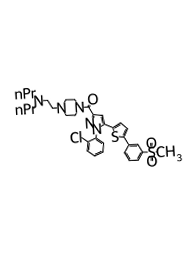 CCCN(CCC)CCN1CCN(C(=O)c2cc(-c3ccc(-c4cccc(S(C)(=O)=O)c4)s3)n(-c3ccccc3Cl)n2)CC1